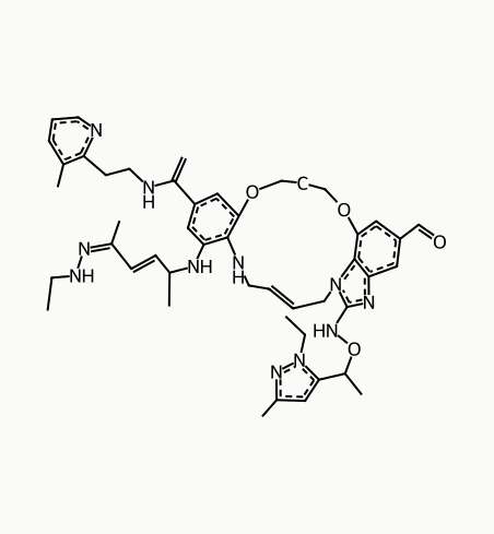 C=C(NCCc1ncccc1C)c1cc(NC(C)/C=C/C(C)=N\NCC)c2c(c1)OCCCOc1cc(C=O)cc3nc(NOC(C)c4cc(C)nn4CC)n(c13)C/C=C/CN2